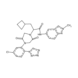 Cn1cc2cc(NC(=O)C(CC3CCC3)N3CC(=O)N(c4cc(Cl)ccc4-n4cnnn4)CC3=O)ccc2n1